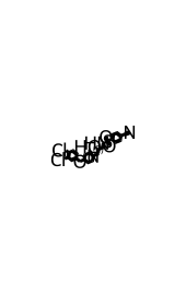 N#Cc1ccc(S(=O)(=O)NC[C@H](O)CN2CCC(Oc3ccc(Cl)c(Cl)c3)CC2)cc1